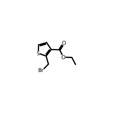 CCOC(=O)c1ccsc1CBr